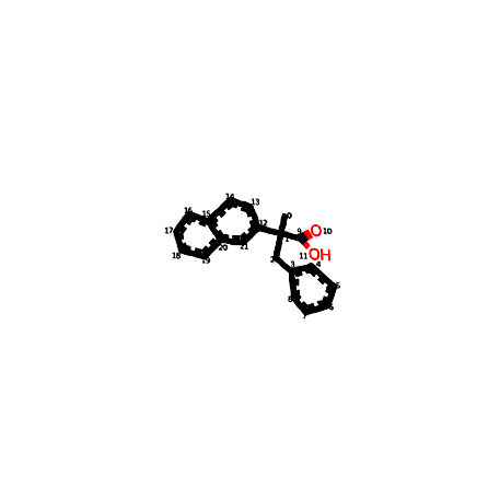 CC(Cc1ccccc1)(C(=O)O)c1ccc2ccccc2c1